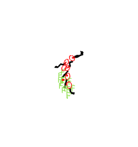 C=CC#COCC(COCC(F)(OC(F)(F)C(F)(OC(F)(F)C(=C)F)C(F)(F)F)C(F)(F)F)OC(=O)CCC